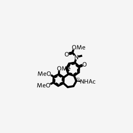 COC(=O)N(C)c1ccc2c(cc1=O)[C@@H](NC(C)=O)CCc1cc(OC)c(OC)c(OC)c1-2